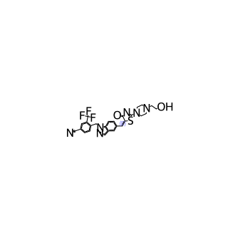 N#Cc1ccc(Cn2ncc3cc(/C=C4/SC(N5CCN(CCO)CC5)=NC4=O)ccc32)c(C(F)(F)F)c1